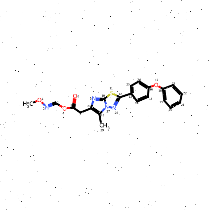 CON=COC(=O)Cc1nc2sc(-c3ccc(Oc4ccccc4)cc3)nn2c1C